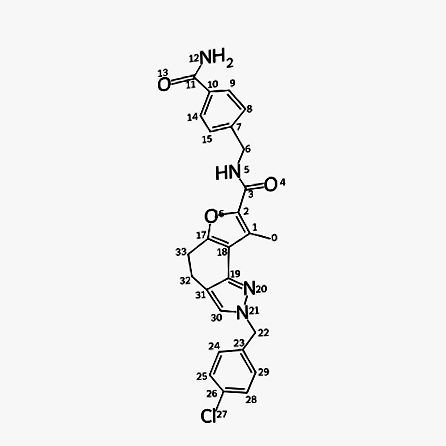 Cc1c(C(=O)NCc2ccc(C(N)=O)cc2)oc2c1-c1nn(Cc3ccc(Cl)cc3)cc1CC2